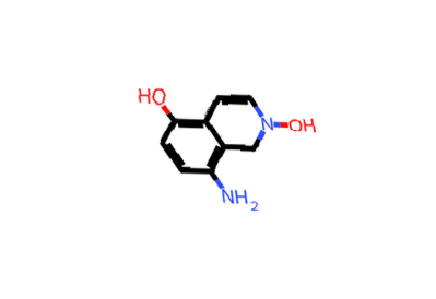 Nc1ccc(O)c2c1CN(O)C=C2